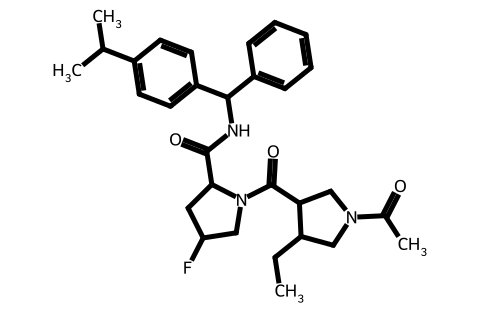 CCC1CN(C(C)=O)CC1C(=O)N1CC(F)CC1C(=O)NC(c1ccccc1)c1ccc(C(C)C)cc1